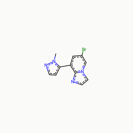 Cn1nccc1-c1cc(Br)cn2ccnc12